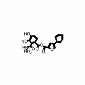 N#Cc1c(O)ccc(C(=O)OC(=O)c2cc(-c3ccccc3)co2)c1C(=O)NN